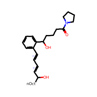 CCCCCCCCC(O)/C=C/C=C/c1ccccc1C(O)CCCC(=O)N1CCCC1